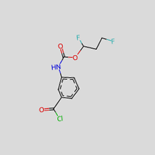 O=C(Nc1cccc(C(=O)Cl)c1)OC(F)CCF